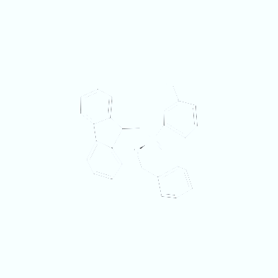 O=[P@](NCc1ccccc1)(OC1c2ccccc2-c2ccccc21)c1cccc(Cl)c1